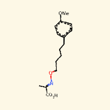 COc1ccc(CCCCCON=C(C)C(=O)O)cc1